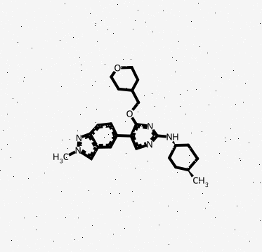 Cn1cc2cc(-c3cnc(N[C@H]4CC[C@H](C)CC4)nc3OCC3CCOCC3)ccc2n1